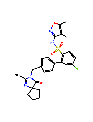 CCCCC1=NC2(CCCC2)C(=O)N1Cc1ccc(-c2cc(F)ccc2S(=O)(=O)Nc2noc(C)c2C)cc1